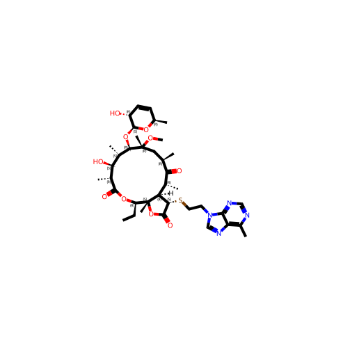 CC[C@H]1OC(=O)[C@H](C)[C@@H](O)[C@H](C)[C@@H](O[C@@H]2O[C@H](C)C=C[C@H]2O)[C@](C)(OC)C[C@@H](C)C(=O)[C@H](C)[C@H]2[C@H](SCCn3cnc4c(C)ncnc43)C(=O)O[C@@]21C